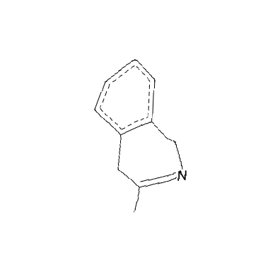 CC1=NCc2ccccc2C1